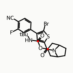 CC(C)(C)NC(=O)OC1CC2CCC(C1)N2C(=O)c1cc(-c2ccc(C#N)c(F)c2)c(Br)s1